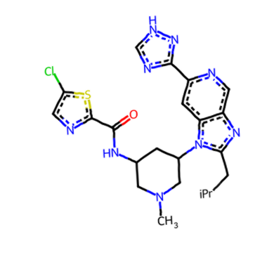 CC(C)Cc1nc2cnc(-c3nc[nH]n3)cc2n1C1CC(NC(=O)c2ncc(Cl)s2)CN(C)C1